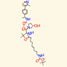 Cc1ncsc1-c1ccc([C@H](C)NC(=O)[C@@H]2C[C@@H](O)CN2C(=O)[C@@H](NC(=O)CCCCCCCCNC(=O)OC(C)(C)C)C(C)(C)C)cc1